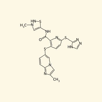 Cc1cn2cc(Sc3ccc(Sc4nnc[nH]4)nc3C(=O)NC3=CN(C)NS3)ccc2n1